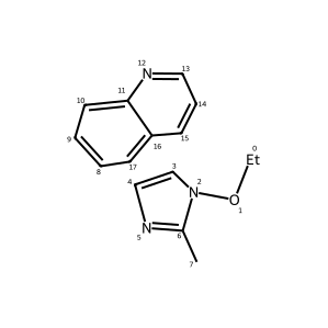 CCOn1ccnc1C.c1ccc2ncccc2c1